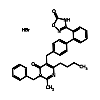 Br.CCCCc1nc(C)n(Cc2ccccc2)c(=O)c1Cc1ccc(-c2ccccc2-c2noc(=O)[nH]2)cc1